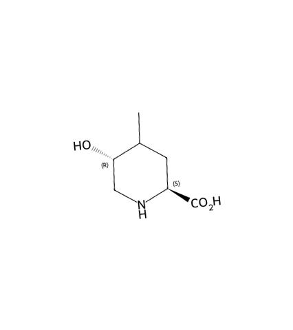 CC1C[C@@H](C(=O)O)NC[C@@H]1O